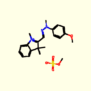 COS(=O)(=O)[O-].COc1ccc(N(C)N=CC2=[N+](C)c3ccccc3C2(C)C)cc1